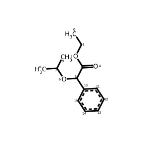 CCOC(=O)C(OC(C)C)c1ccccc1